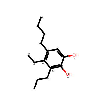 CCCCc1cc(O)c(O)c(CCC)c1CC